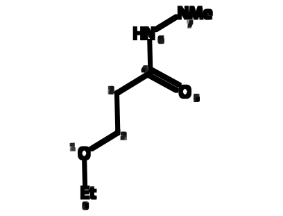 CCOCCC(=O)NNC